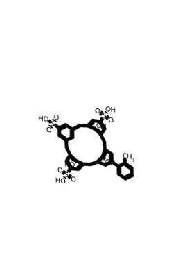 Cc1ccccc1C1=CC2=C(O)C(C1)Cc1cc(S(=O)(=O)O)cc(c1O)Cc1cc(cc(S(=O)(=O)O)c1)Cc1cc(S(=O)(=O)O)cc(c1O)C2